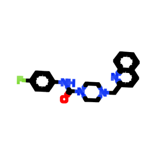 O=C(Nc1ccc(F)cc1)N1CCN(Cc2ccc3ccccc3n2)CC1